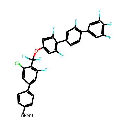 CCCCCc1ccc(-c2cc(F)c(C(F)(F)Oc3cc(F)c(-c4ccc(-c5cc(F)c(F)c(F)c5)c(F)c4)c(F)c3)c(Cl)c2)cc1